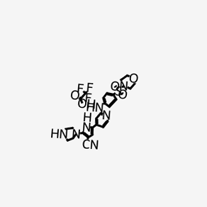 N#Cc1cc(-c2ccnc(Nc3ccc(S(=O)(=O)N4CCOCC4)cc3)c2)[nH]c1N1CCNCC1.O=C(O)C(F)(F)F